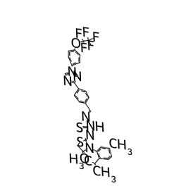 Cc1ccc(C(C)C)c(N2C(=O)CS/C2=N\C(=S)N/N=C/c2ccc(-c3ncn(-c4ccc(OC(F)(F)C(F)(F)F)cc4)n3)cc2)c1